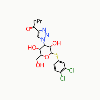 CCCC(=O)c1cn(C2C(O)C(CO)OC(Sc3ccc(Cl)c(Cl)c3)C2O)nn1